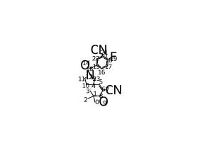 CC1(C)C[C@]2(C=C(C#N)C1=O)CCN(C(=O)c1ccc(F)c(C#N)c1)C2